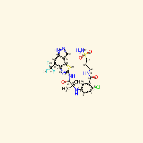 CC(C)(Nc1ccc(Cl)c(C(=O)NCCCS(N)(=O)=O)c1)C(=O)Nc1nc2c(C(F)(F)F)cc3[nH]ncc3c2s1